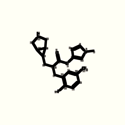 Cn1cnc(OC(=O)N(Cc2cc(C(F)(F)F)ccc2F)CC2C3CNCC32)c1